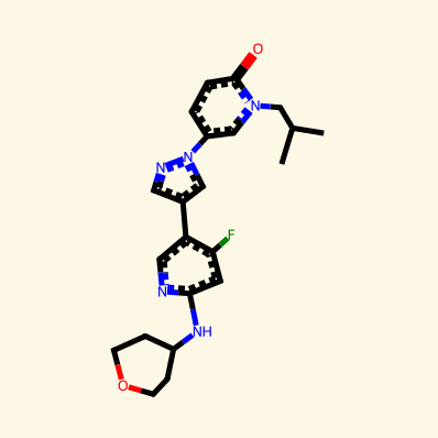 CC(C)Cn1cc(-n2cc(-c3cnc(NC4CCOCC4)cc3F)cn2)ccc1=O